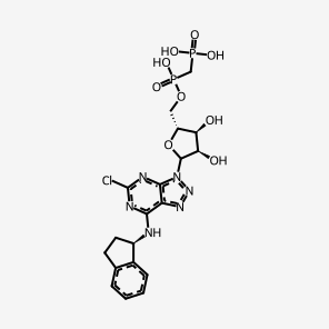 O=P(O)(O)CP(=O)(O)OC[C@H]1OC(n2nnc3c(N[C@@H]4CCc5ccccc54)nc(Cl)nc32)[C@H](O)[C@@H]1O